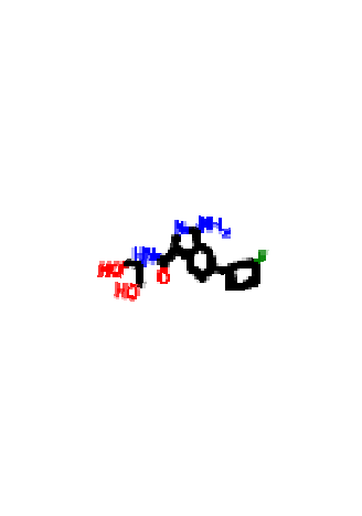 Nc1ncc(C(=O)NC(CO)CO)c2ccc(-c3cccc(F)c3)cc12